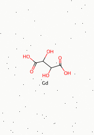 O=C(O)C(O)C(O)C(=O)O.[Gd]